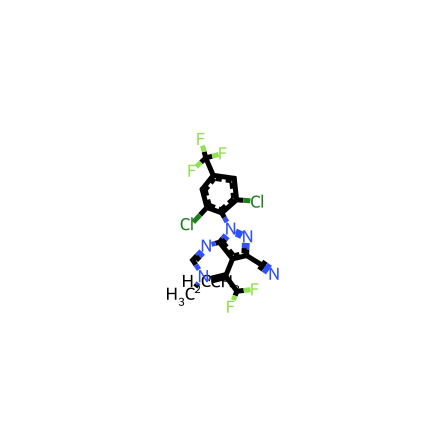 C=C(c1c(C#N)nn(-c2c(Cl)cc(C(F)(F)F)cc2Cl)c1/N=C\N(C)C)C(F)F